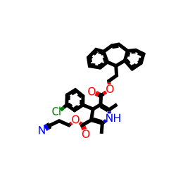 CC1=C(C(=O)OCCC#N)C(c2cccc(Cl)c2)C(C(=O)OCCC2c3ccccc3C=Cc3ccccc32)=C(C)N1